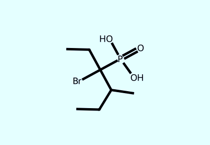 CCC(C)C(Br)(CC)P(=O)(O)O